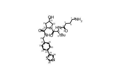 CC(C)(C)C(NC(=O)CCCN)C(=O)N1CC(O)CC1C(=O)NCc1ccc(-c2cncs2)cc1